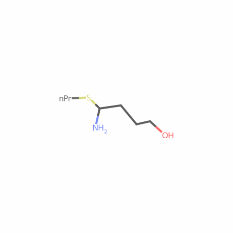 CCCSC(N)CCCO